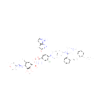 COc1ccc(CN2CCN(C3CC4(CCN(c5cc(Oc6cnc7[nH]ccc7c6)c(C(=O)NS(=O)(=O)c6cc([N+](=O)[O-])c(NCC7CCOCC7)c7c6OCO7)cc5F)CC4)C3)C(c3ccccc3C(C)C)C2)cc1